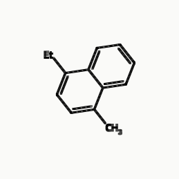 CCc1ccc(C)c2ccccc12